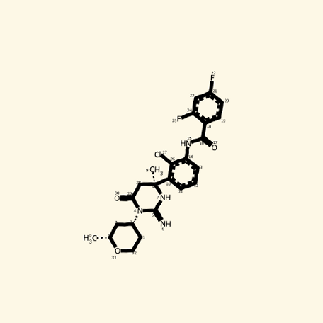 C[C@@H]1C[C@H](N2C(=N)N[C@](C)(c3cccc(NC(=O)c4ccc(F)cc4F)c3Cl)CC2=O)CCO1